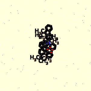 CC(C)(C)c1ccc2c(c1)C1(c3cc(C(C)(C)C)ccc3-2)c2ccccc2-c2cccc(N(c3ccc4c(c3)C(C)(C)c3ccccc3-4)c3ccccc3-c3ccccc3)c21